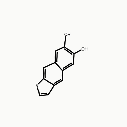 Oc1cc2cc3ccsc3cc2cc1O